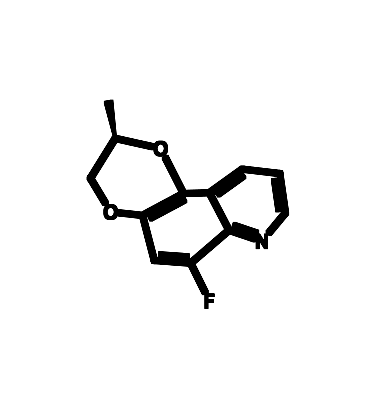 C[C@@H]1COc2cc(F)c3ncccc3c2O1